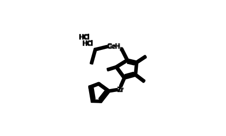 CC1=C(C)C(C)[C]([Zr][C]2=CC=CC2)=C1C.C[CH2][GeH3].Cl.Cl